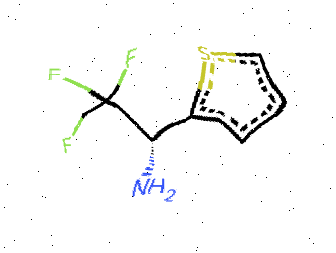 N[C@@H](c1cccs1)C(F)(F)F